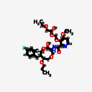 CCCO[C@H]1COC[C@H](NC(=O)c2nccc(OC)c2OCOC(=O)COCC)C(=O)O[C@@H](C)[C@@H]1Cc1ccc(F)cc1